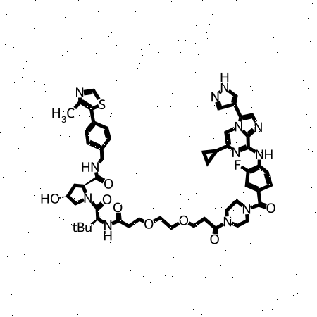 Cc1ncsc1-c1ccc(CNC(=O)[C@@H]2C[C@@H](O)CN2C(=O)[C@@H](NC(=O)CCOCCOCCC(=O)N2CCN(C(=O)c3ccc(Nc4nc(C5CC5)cn5c(-c6cn[nH]c6)cnc45)c(F)c3)CC2)C(C)(C)C)cc1